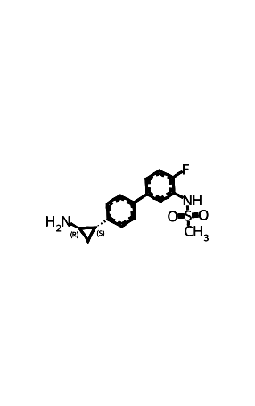 CS(=O)(=O)Nc1cc(-c2ccc([C@@H]3C[C@H]3N)cc2)ccc1F